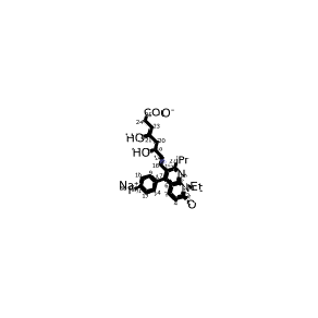 CCn1c(=O)ccc2c(-c3ccc(F)cc3)c(/C=C/C(O)CC(O)CCC(=O)[O-])c(C(C)C)nc21.[Na+]